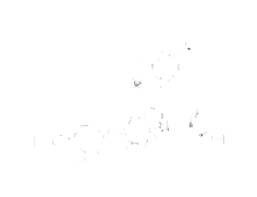 Cc1ccc(-c2ccc3c(c2)c(C(=O)c2ccc(Cl)cc2)cn3CC(=O)O)cc1